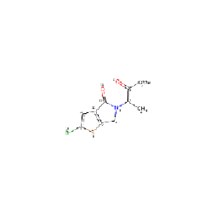 COC(=O)C(C)N1Cc2sc(Br)cc2C1=O